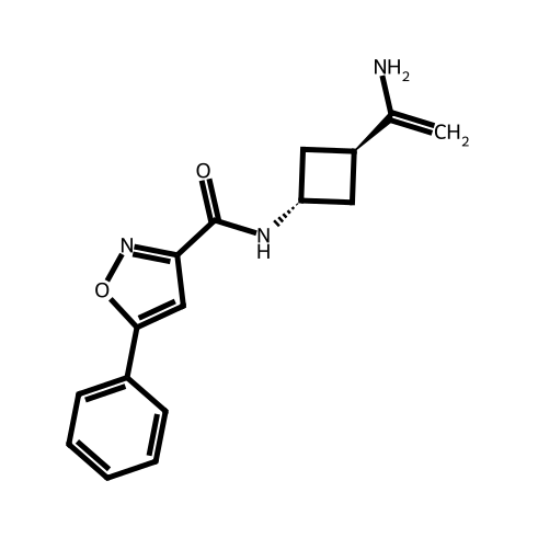 C=C(N)[C@H]1C[C@H](NC(=O)c2cc(-c3ccccc3)on2)C1